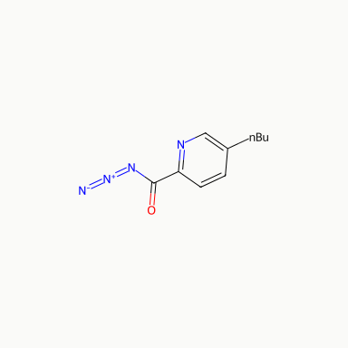 CCCCc1ccc(C(=O)N=[N+]=[N-])nc1